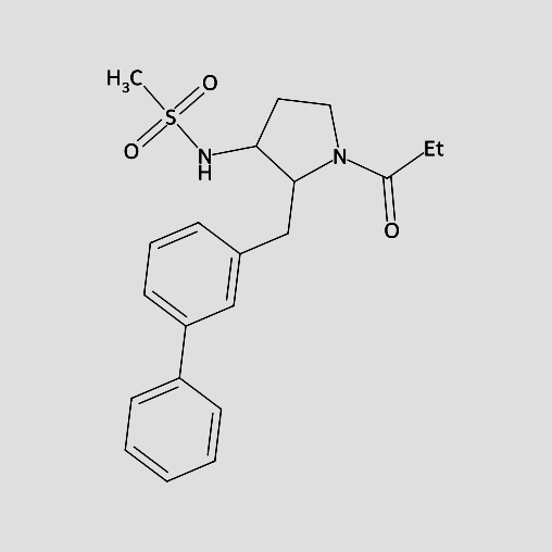 CCC(=O)N1CCC(NS(C)(=O)=O)C1Cc1cccc(-c2ccccc2)c1